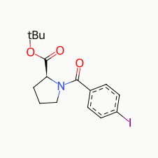 CC(C)(C)OC(=O)[C@@H]1CCCN1C(=O)c1ccc(I)cc1